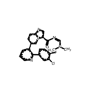 CN(C)/C=N\C(=O)c1cnc2ccc(-c3cccnc3-c3ccc(F)c(Cl)c3)cn12